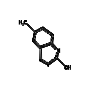 Cc1ccc2nc(O)[c]cc2c1